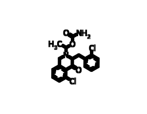 CC(OC(N)=O)N1Cc2cccc(Cl)c2C(=O)C1Cc1ccccc1Cl